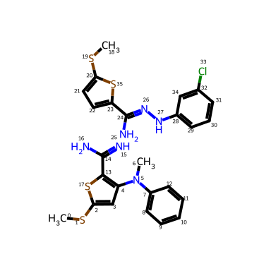 CSc1cc(N(C)c2ccccc2)c(C(=N)N)s1.CSc1ccc(C(N)=NNc2cccc(Cl)c2)s1